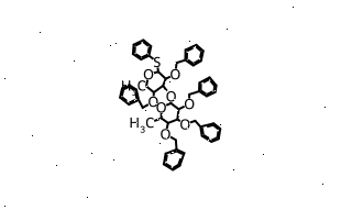 CC1OC(OC2C(OCc3ccccc3)C(C)OC(Sc3ccccc3)C2OCc2ccccc2)C(OCc2ccccc2)C(OCc2ccccc2)C1OCc1ccccc1